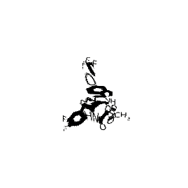 CS(=O)(=O)CC(=O)Nc1c(-c2ccc(F)c(F)c2)nn2c1C(=O)N[C@@]1(CCc3cc(OCC(F)(F)F)ccc31)C2